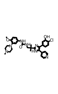 COc1ccc(NC(=O)NCC(C)(C)c2nc(-c3ccc(Cl)c(O)c3)c(-c3ccncc3)[nH]2)cc1N1CCN(C)CC1